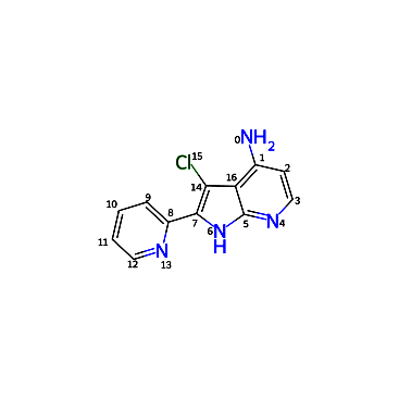 Nc1ccnc2[nH]c(-c3ccccn3)c(Cl)c12